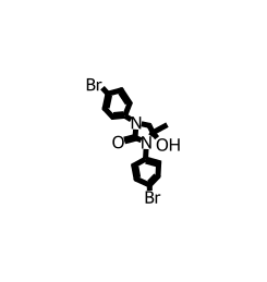 CC1(O)CN(c2ccc(Br)cc2)C(=O)N1c1ccc(Br)cc1